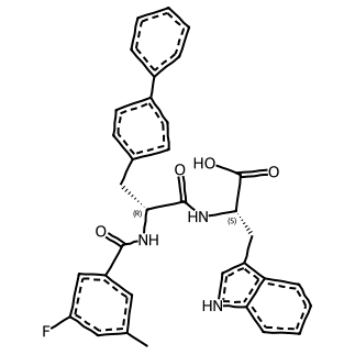 Cc1cc(F)cc(C(=O)N[C@H](Cc2ccc(-c3ccccc3)cc2)C(=O)N[C@@H](Cc2c[nH]c3ccccc23)C(=O)O)c1